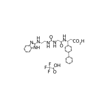 O=C(O)C(F)(F)F.O=C(O)CC(NC(=O)CNC(=O)NCCNc1nc2ccccc2[nH]1)c1ccc(-c2ccccc2)cc1